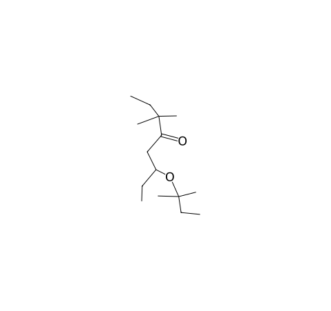 CCC(CC(=O)C(C)(C)CC)OC(C)(C)CC